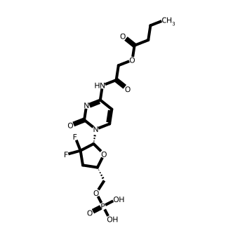 CCCC(=O)OCC(=O)Nc1ccn([C@@H]2O[C@H](COP(=O)(O)O)CC2(F)F)c(=O)n1